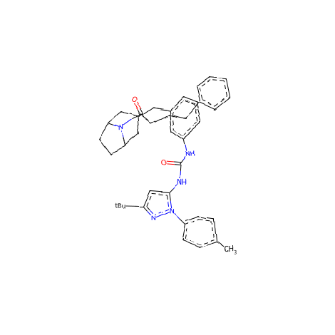 Cc1ccc(-n2nc(C(C)(C)C)cc2NC(=O)Nc2cccc(CC3CC4CCC(C3)N4C(=O)CCCc3ccccc3)c2)cc1